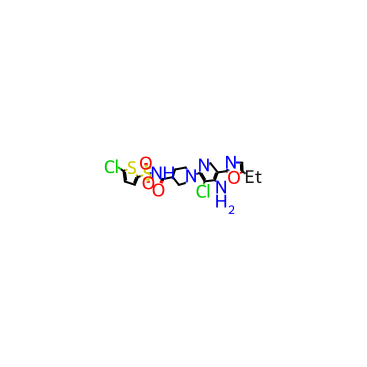 CCc1cnc(-c2cnc(N3CCC(C(=O)NS(=O)(=O)c4ccc(Cl)s4)CC3)c(Cl)c2N)o1